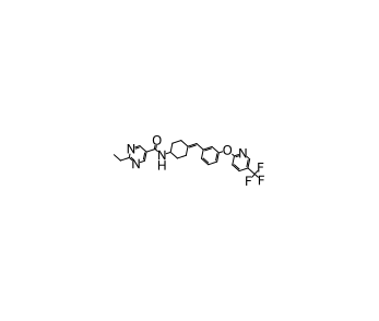 CCc1ncc(C(=O)NC2CCC(=Cc3cccc(Oc4ccc(C(F)(F)F)cn4)c3)CC2)cn1